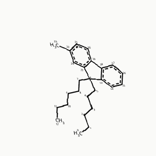 CCCCCCC1(CCCCCC)c2ccccc2-c2ccc(C)cc21